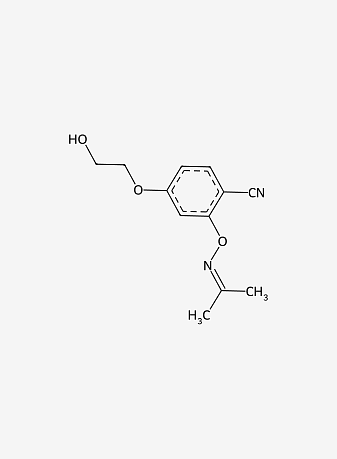 CC(C)=NOc1cc(OCCO)ccc1C#N